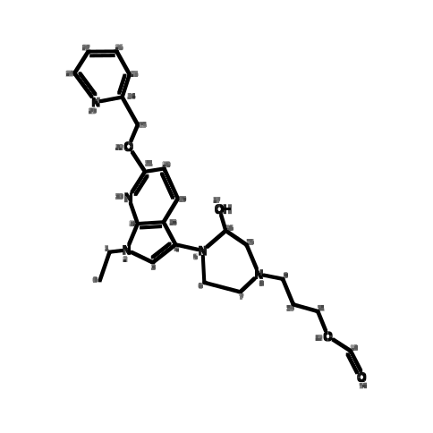 CCn1cc(N2CCN(CCCOC=O)CC2O)c2ccc(OCc3ccccn3)nc21